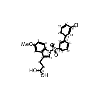 COc1ccc2c(c1)c(CCC(O)O)cn2S(=O)(=O)c1cccc(C2C=C(Cl)C=CC2)c1